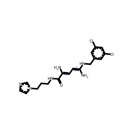 N/C(=C\C=C(/N)NCc1cc(Cl)cc(Cl)c1)C(=O)NCCCn1ccnc1